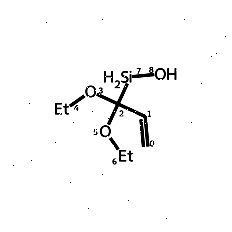 C=CC(OCC)(OCC)[SiH2]O